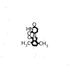 Cc1ccc(C)c2c1CN([C@H]1CCC(=O)NC1=O)C2=O